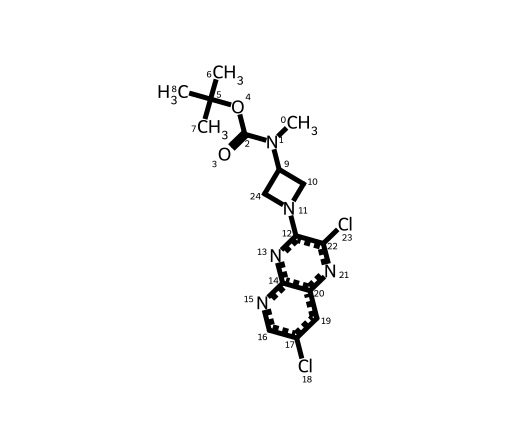 CN(C(=O)OC(C)(C)C)C1CN(c2nc3ncc(Cl)cc3nc2Cl)C1